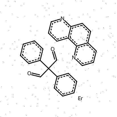 O=CC(C=O)(c1ccccc1)c1ccccc1.[Er].c1cnc2c(c1)ccc1ncccc12